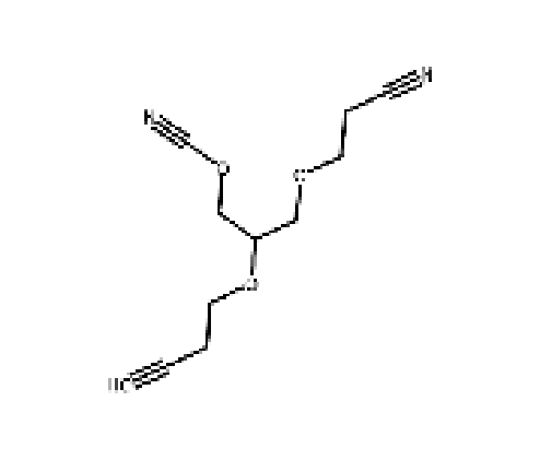 C#CCCOC(COC#N)COCCC#N